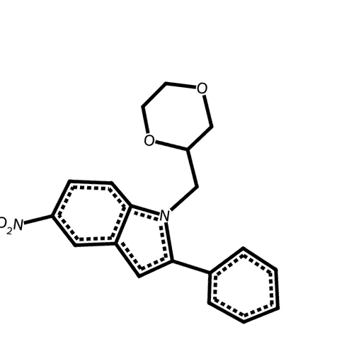 O=[N+]([O-])c1ccc2c(c1)cc(-c1ccccc1)n2CC1COCCO1